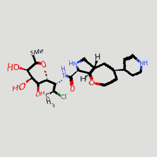 CSC1O[C@H]([C@H](NC(=O)[C@H]2NC[C@@H]3C[C@@H](C4CCNCC4)CCO[C@H]32)[C@H](C)Cl)C(O)[C@@H](O)[C@H]1O